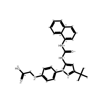 CC(C)(C)c1cc(NC(=O)Nc2cccc3ccccc23)n(-c2ccc(OCC(=O)O)cc2)n1